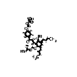 C/C=C/Cc1cc(C/C=C/C)c(OCOC(=O)C(C)(C)C)c(/C=C/C(=O)c2ccc(OCOC(=O)C(C)(C)C)cc2)c1OCC